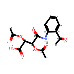 CC(=O)OC(C(=O)O)C(OC(C)=O)C(=O)Nc1ccccc1C(C)=O